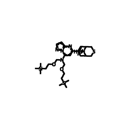 BN1C2C=C(c3cc(N(COCC[Si](C)(C)C)COCC[Si](C)(C)C)n4nccc4n3)CC1CSC2